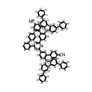 N#Cc1ccc(-c2ccccc2-c2nc(-c3ccc(-n4c5ccc(-c6ccccc6)cc5c5cc(-c6ccccc6)ccc54)c(-c4ccc(C#N)cc4)c3)nc(-c3ccc(-n4c5ccc(-c6ccccc6)cc5c5cc(-c6ccccc6)ccc54)c(-c4ccc(C#N)cc4)c3)n2)cc1